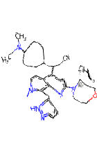 C[C@@H]1COCCN1c1cc(C(C#N)C2CCC(N(C)C)CC2)c2ccnc(-c3ccn[nH]3)c2n1